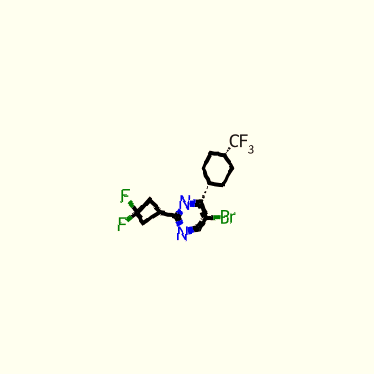 FC1(F)CC(c2ncc(Br)c([C@H]3CC[C@@H](C(F)(F)F)CC3)n2)C1